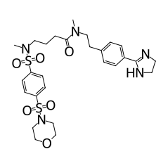 CN(CCc1ccc(C2=NCCN2)cc1)C(=O)CCCN(C)S(=O)(=O)c1ccc(S(=O)(=O)N2CCOCC2)cc1